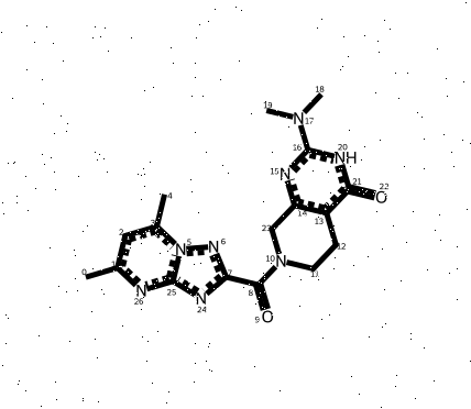 Cc1cc(C)n2nc(C(=O)N3CCc4c(nc(N(C)C)[nH]c4=O)C3)nc2n1